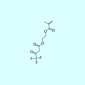 C=C(C)C(=O)OCCOC(=O)CC(=O)C(F)(F)F